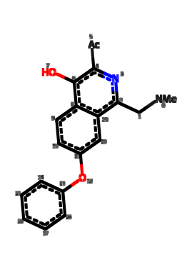 CNCc1nc(C(C)=O)c(O)c2ccc(Oc3ccccc3)cc12